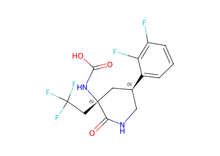 O=C(O)N[C@]1(CC(F)(F)F)C[C@@H](c2cccc(F)c2F)CNC1=O